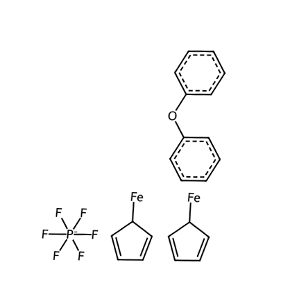 F[P-](F)(F)(F)(F)F.[Fe][CH]1C=CC=C1.[Fe][CH]1C=CC=C1.c1ccc(Oc2ccccc2)cc1